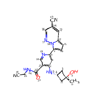 C[C@]1(O)C[C@@H](Nc2cc(-c3ccc4cc(C#N)cnn34)ncc2C(=O)NCC#N)C1